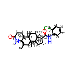 CC1=C2N(C)C(=O)CC[C@]2(C)[C@@H]2CC[C@]3(C)C(C(=O)Nc4ccccc4Cl)CC[C@H]3[C@@H]2C1